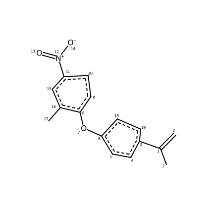 C=C(C)c1ccc(Oc2ccc([N+](=O)[O-])cc2C)cc1